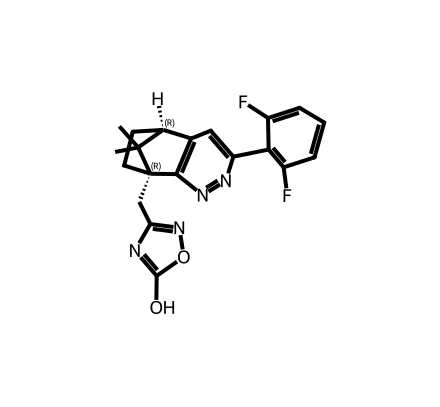 CC1(C)[C@H]2CC[C@]1(Cc1noc(O)n1)c1nnc(-c3c(F)cccc3F)cc12